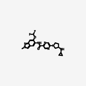 Cn1cc2cc(NC(=O)c3cnc(N4CC[C@@H](NC5CC5)C4)cn3)c(OC(F)F)cc2n1